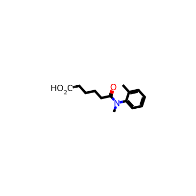 Cc1ccccc1N(C)C(=O)CCCCC(=O)O